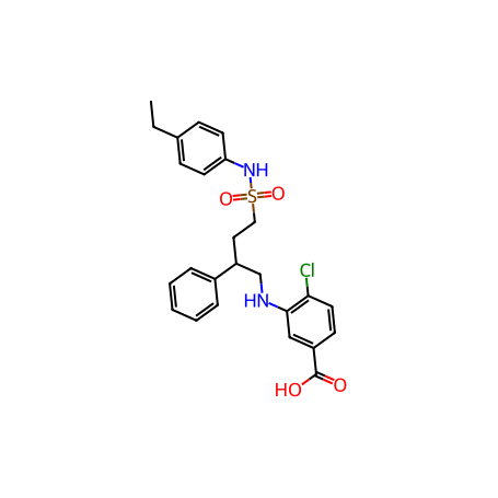 CCc1ccc(NS(=O)(=O)CCC(CNc2cc(C(=O)O)ccc2Cl)c2ccccc2)cc1